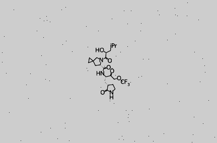 CC(C)C[C@H](O)C(=O)N1CC2(CC2)C[C@H]1C(=O)N[C@@H](C[C@@H]1CCNC1=O)C(=O)COC(F)(F)F